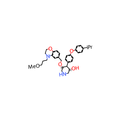 COCCCN1CCOc2ccc(CO[C@H]3CNC[C@@H](O)C3c3ccc(Oc4ccc(C(C)C)cc4)cc3)cc21